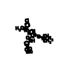 Cn1nc(-c2cnc3c(n2)c(C(=O)N[C@@H]2CCCN(C(=O)OC(C)(C)C)C2)cn3COCC[Si](C)(C)C)c2ccc(Cl)cc21